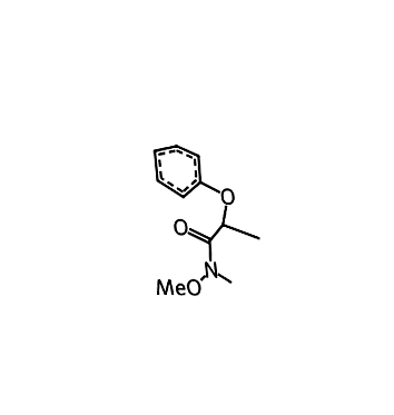 CON(C)C(=O)C(C)Oc1ccccc1